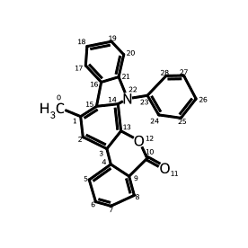 Cc1cc2c3ccccc3c(=O)oc2c2c1c1ccccc1n2-c1ccccc1